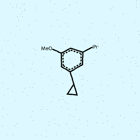 COc1cc([C](C)C)cc(C2CC2)c1